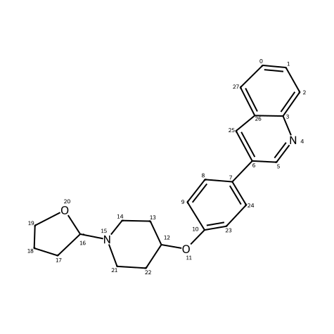 c1ccc2ncc(-c3ccc(OC4CCN([C]5CCCO5)CC4)cc3)cc2c1